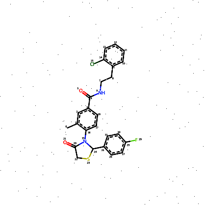 Cc1cc(C(=O)NCCc2ccccc2Cl)ccc1N1C(=O)CSC1c1ccc(F)cc1